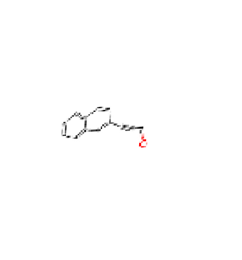 O=CC#Cc1ccc2ccccc2c1